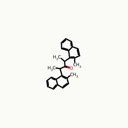 Cc1ccc2ccccc2c1C(C)C(=O)C(C)c1c(C)ccc2ccccc12